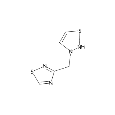 C1=CN(Cc2ncsn2)NS1